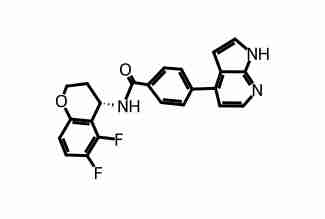 O=C(N[C@H]1CCOc2ccc(F)c(F)c21)c1ccc(-c2ccnc3[nH]ccc23)cc1